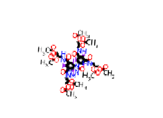 CC(=O)OCC(CNC(=O)c1c(I)c(C(=O)NCC(COC(C)=O)OC(C)=O)c(I)c(N(C(N)=O)c2c(I)c(C(=O)NCC(COC(C)=O)OC(C)=O)c(I)c(C(=O)NCC(COC(C)=O)OC(C)=O)c2I)c1I)OC(C)=O